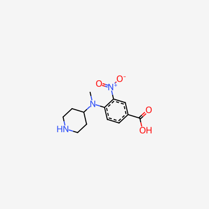 CN(c1ccc(C(=O)O)cc1[N+](=O)[O-])C1CCNCC1